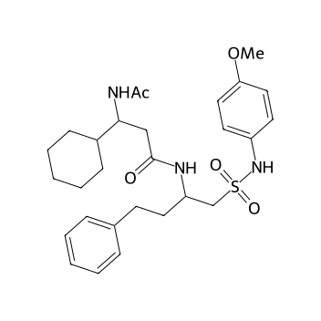 COc1ccc(NS(=O)(=O)CC(CCc2ccccc2)NC(=O)CC(NC(C)=O)C2CCCCC2)cc1